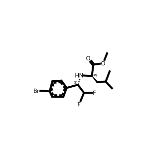 COC(=O)[C@@H](CC(C)C)N[C@@H](c1ccc(Br)cc1)C(F)F